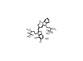 CCC(=Cc1sc2ccc(Cl)c(Cl)c2[n+]1CCC(C)S(=O)(=O)O)C=C1Sc2ccccc2N1CCC(C)S(=O)(=O)O.[OH-]